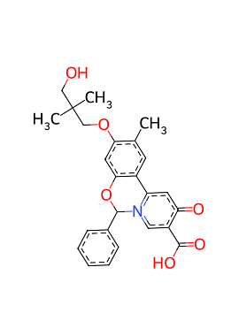 Cc1cc2c(cc1OCC(C)(C)CO)OC(c1ccccc1)n1cc(C(=O)O)c(=O)cc1-2